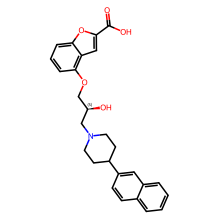 O=C(O)c1cc2c(OC[C@@H](O)CN3CCC(c4ccc5ccccc5c4)CC3)cccc2o1